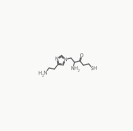 NCCc1cn(CC(N)C(=O)CCS)cn1